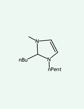 CCCCCN1C=CN(C)C1CCCC